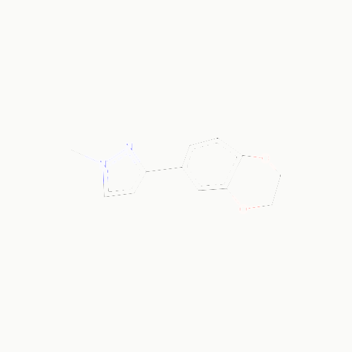 Cn1ccc(-c2ccc3c(c2)OCCO3)n1